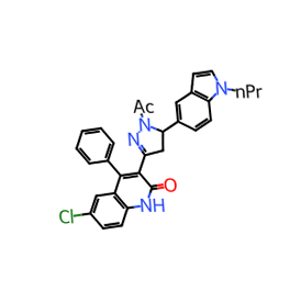 CCCn1ccc2cc(C3CC(c4c(-c5ccccc5)c5cc(Cl)ccc5[nH]c4=O)=NN3C(C)=O)ccc21